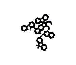 C=CC1=C(/C=C\C)C2(c3cc4c(-c5cccc6c5oc5ccccc56)ccc(N(c5ccc6c(c5)-c5ccccc5C6(C)C)c5ccc6ccccc6c5)c4cc31)c1ccccc1-c1ccccc12